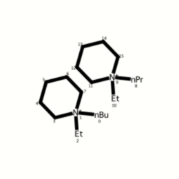 CCCC[N+]1(CC)CCCCC1.CCC[N+]1(CC)CCCCC1